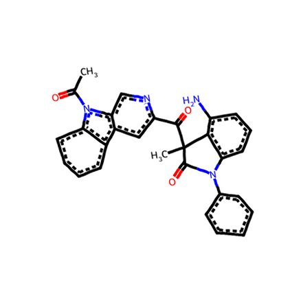 CC(=O)n1c2ccccc2c2cc(C(=O)C3(C)C(=O)N(c4ccccc4)c4cccc(N)c43)ncc21